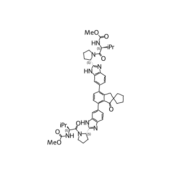 COC(=O)N[C@H](C(=O)N1CCC[C@H]1c1nc2ccc(-c3ccc(-c4ccc5nc([C@@H]6CCCN6C(=O)[C@@H](NC(=O)OC)C(C)C)[nH]c5c4)c4c3CC3(CCCC3)C4=O)cc2[nH]1)C(C)C